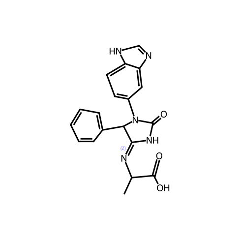 CC(/N=C1\NC(=O)N(c2ccc3[nH]cnc3c2)C1c1ccccc1)C(=O)O